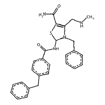 CNCC1=C(C(N)=O)SC(NC(=O)c2ccc(Cc3ccccc3)cc2)N1Cc1ccccc1